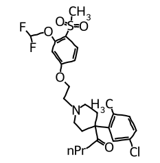 CCCC(=O)C1(c2cc(Cl)ccc2C)CCN(CCOc2ccc(S(C)(=O)=O)c(OC(F)F)c2)CC1